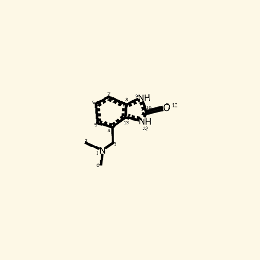 CN(C)Cc1cccc2[nH]c(=O)[nH]c12